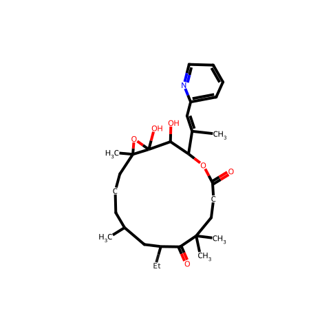 CCC1CC(C)CCCC2(C)OC2(O)C(O)C(C(C)=Cc2ccccn2)OC(=O)CCC(C)(C)C1=O